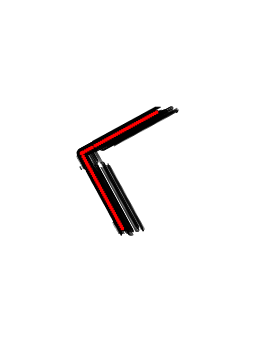 [Fe+3].[Fe+3].[Fe+3].[Fe+3].[Fe+3].[Fe+3].[Fe+3].[Fe+3].[Fe+3].[Fe+3].[Fe+3].[Fe+3].[Fe+3].[Fe+3].[Fe+3].[Fe+3].[Fe+3].[Fe+3].[Fe+3].[Fe+3].[Fe+3].[Fe+3].[Fe+3].[Fe+3].[Fe+3].[Fe+3].[Fe+3].[Fe+3].[Fe+3].[Fe+3].[Fe+3].[Fe+3].[Fe+3].[Fe+3].[Fe+3].[Fe+3].[Fe+3].[Fe+3].[Fe+3].[Fe+3].[Fe+3].[Fe+3].[Fe+3].[Fe+3].[Fe+3].[Fe+3].[Fe+3].[Fe+3].[Fe+3].[Fe+3].[Fe+3].[Fe+3].[Fe+3].[Fe+3].[Fe+3].[Fe+3].[Fe+3].[Fe+3].[Fe+3].[Fe+3].[Fe+3].[Fe+3].[Fe+3].[Fe+3].[Fe+3].[Fe+3].[Fe+3].[Fe+3].[Fe+3].[Fe+3].[Fe+3].[Fe+3].[Fe+3].[Fe+3].[Fe+3].[Fe+3].[Fe+3].[Fe+3].[Fe+3].[Fe+3].[Fe+3].[Fe+3].[Fe+3].[Fe+3].[Fe+3].[Fe+3].[Fe+3].[Fe+3].[Fe+3].[Fe+3].[Fe+3].[Fe+3].[Fe+3].[Fe+3].[Fe+3].[Fe+3].[Fe+3].[Fe+3].[Fe+3].[Fe+3].[Fe+3].[Fe+3].[Fe+3].[Fe+3].[Fe+3].[Fe+3].[Fe+3].[Fe+3].[Fe+3].[Fe+3].[Fe+3].[Fe+3].[Fe+3].[Fe+3].[Fe+3].[Fe+3].[Fe+3].[Fe+3].[Fe+3].[Fe+3].[Fe+3].[O-2].[O-2].[O-2].[O-2].[O-2].[O-2].[O-2].[O-2].[O-2].[O-2].[O-2].[O-2].[O-2].[O-2].[O-2].[O-2].[O-2].[O-2].[O-2].[O-2].[O-2].[O-2].[O-2].[O-2].[O-2]